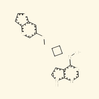 CN(c1ncnc2[nH]ccc12)[C@H]1C[C@@H](CSc2cnc3ccoc3c2)C1